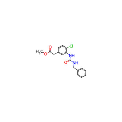 COC(=O)Cc1ccc(Cl)c(NC(=O)NCc2ccccc2)c1